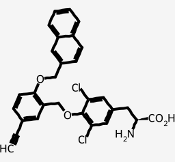 C#Cc1ccc(OCc2ccc3ccccc3c2)c(COc2c(Cl)cc(C[C@H](N)C(=O)O)cc2Cl)c1